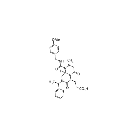 COc1ccc(CNC(=O)N2[C@H]3CN([C@H](C)c4ccccc4)C(=O)[C@H](CCC(=O)O)N3C(=O)CN2C)cc1